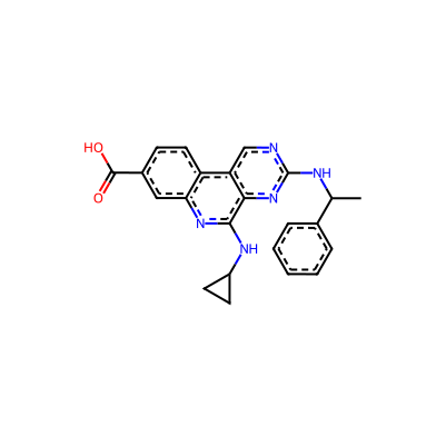 CC(Nc1ncc2c(n1)c(NC1CC1)nc1cc(C(=O)O)ccc12)c1ccccc1